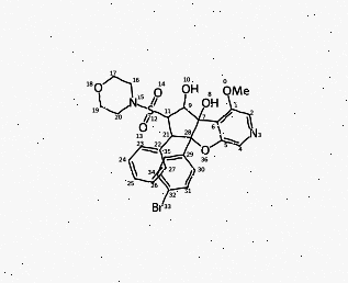 COc1cncc2c1C1(O)C(O)C(S(=O)(=O)N3CCOCC3)C(c3ccccc3)C1(c1ccc(Br)cc1)O2